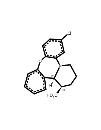 O=C(O)[C@@H]1CCCN2c3cc(Cl)ccc3Oc3ccccc3[C@H]12